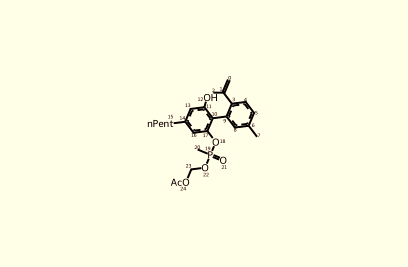 C=C(C)c1ccc(C)cc1-c1c(O)cc(CCCCC)cc1OP(C)(=O)OCOC(C)=O